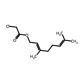 CC(C)=CCCC(C)=CCOC(=O)CCl